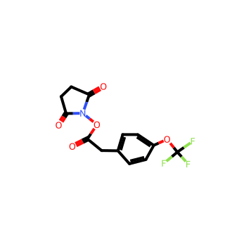 O=C(Cc1ccc(OC(F)(F)F)cc1)ON1C(=O)CCC1=O